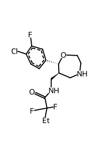 CCC(F)(F)C(=O)NC[C@@H]1CNCCO[C@H]1c1ccc(Cl)c(F)c1